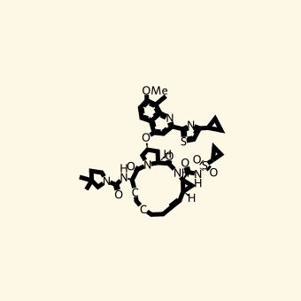 COc1ccc2c(O[C@@H]3C[C@H]4C(=O)N[C@]5(C(=O)NS(=O)(=O)C6CC6)C[C@H]5/C=C\CCCCC[C@H](NC(=O)N5CCC(C)(C)C5)C(=O)N4C3)cc(-c3nc(C4CC4)cs3)nc2c1C